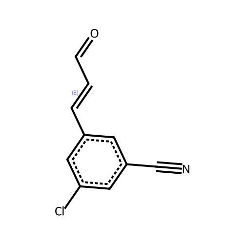 N#Cc1cc(Cl)cc(/C=C/C=O)c1